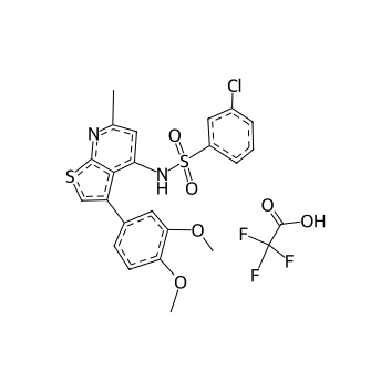 COc1ccc(-c2csc3nc(C)cc(NS(=O)(=O)c4cccc(Cl)c4)c23)cc1OC.O=C(O)C(F)(F)F